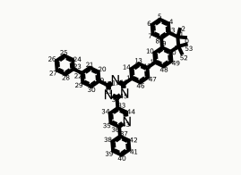 CC1(C)c2ccccc2-c2cc(-c3ccc(-c4nc(-c5ccc(-c6ccccc6)cc5)nc(-c5ccc(-c6ccccc6)nc5)n4)cc3)ccc2C1(C)C